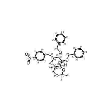 CC1(C)OC[C@H]2O[C@@H](Oc3ccc([N+](=O)[O-])cc3)[C@H](OCc3ccccc3)[C@@H](OCc3ccccc3)[C@H]2O1